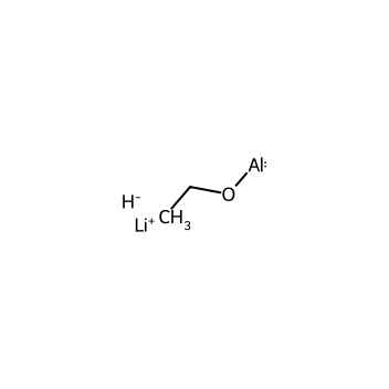 CC[O][Al].[H-].[Li+]